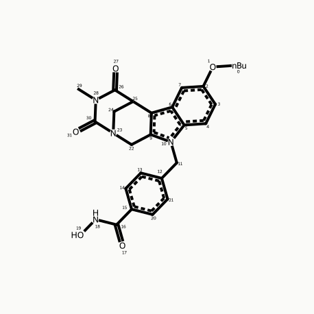 CCCCOc1ccc2c(c1)c1c(n2Cc2ccc(C(=O)NO)cc2)CN2CC1C(=O)N(C)C2=O